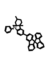 CC1CCC2(C)c3cc(-c4ccc5c(c4)-c4ccccc4C54c5ccccc5-c5ccccc54)ccc3N(c3ccccc3)C2(C)C1